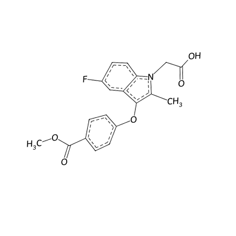 COC(=O)c1ccc(Oc2c(C)n(CC(=O)O)c3ccc(F)cc23)cc1